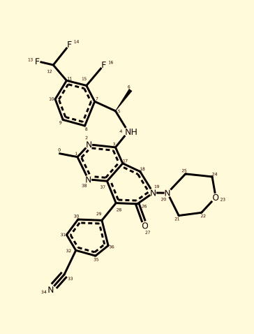 Cc1nc(N[C@H](C)c2cccc(C(F)F)c2F)c2cn(N3CCOCC3)c(=O)c(-c3ccc(C#N)cc3)c2n1